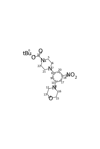 CC(C)(C)OC(=O)N1CCN(c2cc(N3CCOCC3)cc([N+](=O)[O-])c2)CC1